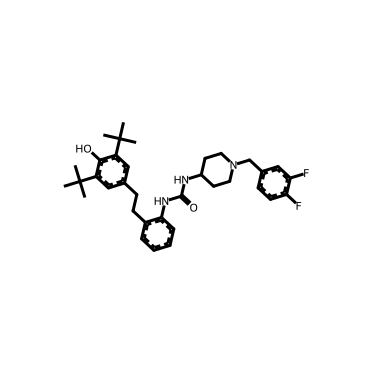 CC(C)(C)c1cc(CCc2ccccc2NC(=O)NC2CCN(Cc3ccc(F)c(F)c3)CC2)cc(C(C)(C)C)c1O